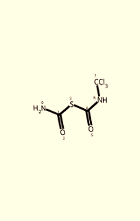 NC(=O)SC(=O)NC(Cl)(Cl)Cl